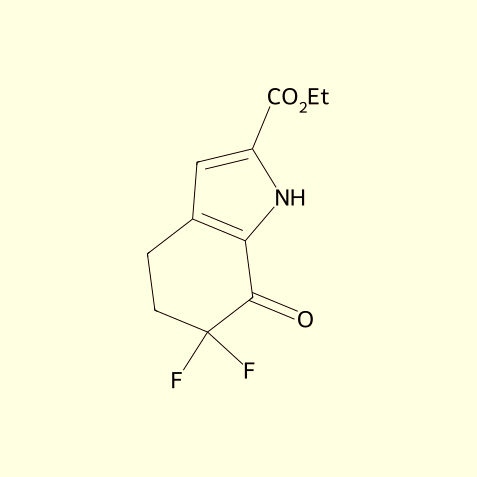 CCOC(=O)c1cc2c([nH]1)C(=O)C(F)(F)CC2